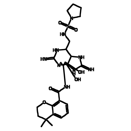 CC1(C)CCOc2c(C(=O)NC3CN4C(=N)NC(CNS(=O)(=O)N5CCCC5)C5NC(=N)NC54C3(O)O)cccc21